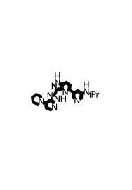 CC(C)Nc1cncc(-c2ccc3[nH]nc(-c4nc5c(N6CCCCC6)ccnc5[nH]4)c3n2)c1